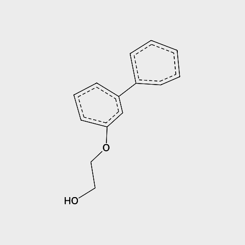 OCCOc1cccc(-c2ccccc2)c1